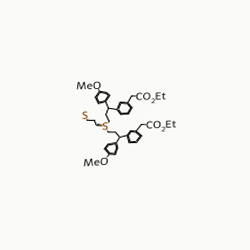 CCOC(=O)Cc1cccc(C(CCS(=CCC=S)CCC(c2ccc(OC)cc2)c2cccc(CC(=O)OCC)c2)c2ccc(OC)cc2)c1